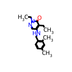 CCc1c(NCc2ccc(C)cc2C)cnn(CC)c1=O